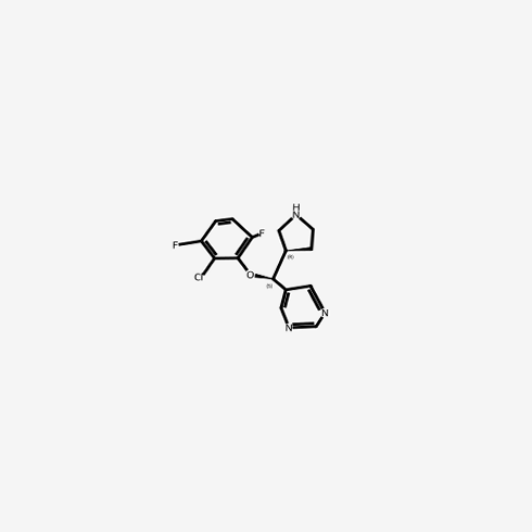 Fc1ccc(F)c(O[C@H](c2cncnc2)[C@@H]2CCNC2)c1Cl